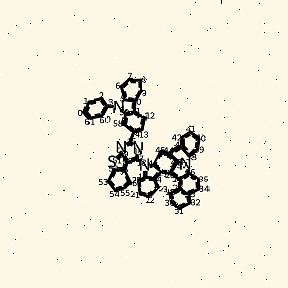 c1ccc(-n2c3ccccc3c3ccc(-c4nc(-n5c6ccccc6c6c7c8c9ccccc9ccc8n8c9ccccc9c(cc65)c78)c5c(n4)sc4ccccc45)cc32)cc1